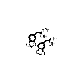 CCCC(O)Cc1ccc2c(c1)OCO2.CCCC(O)Cc1ccc2c(c1)OCO2